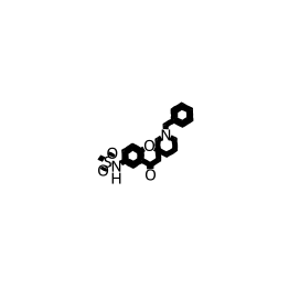 CS(=O)(=O)Nc1ccc2c(c1)C(=O)CC1(CCCN(Cc3ccccc3)C1)O2